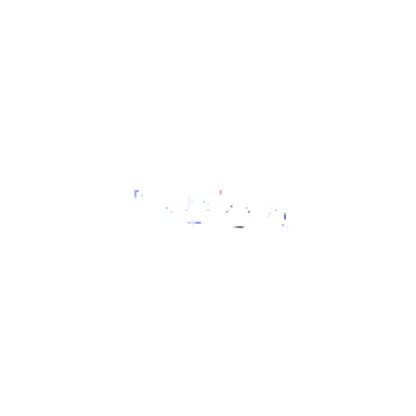 CNC1CCN(c2ncc(-c3ccc(-c4ncns4)cc3O)nn2)C1